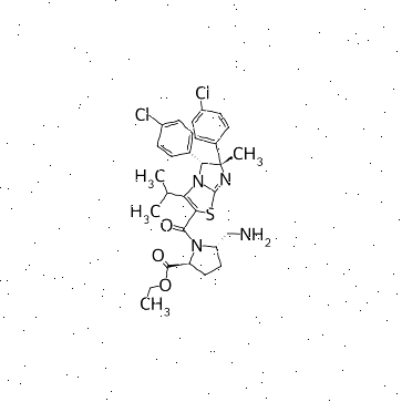 CCOC(=O)[C@@H]1CC[C@@H](CN)N1C(=O)C1=C(C(C)C)N2C(=N[C@@](C)(c3ccc(Cl)cc3)[C@H]2c2ccc(Cl)cc2)S1